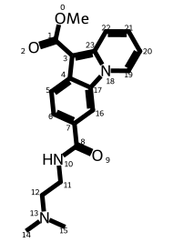 COC(=O)c1c2ccc(C(=O)NCCN(C)C)cc2n2ccccc12